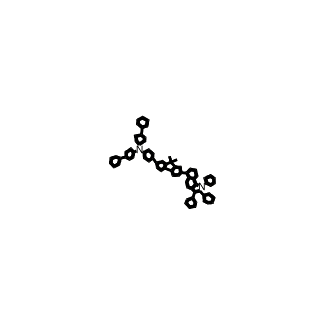 CC1(C)c2cc(-c3ccc(N(c4ccc(-c5ccccc5)cc4)c4ccc(-c5ccccc5)cc4)cc3)ccc2-c2ccc(-c3cccc4c3ccc3c(-c5ccccc5)c(-c5ccccc5)n(-c5ccccc5)c34)cc21